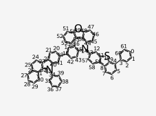 c1ccc(-c2cccc3c2sc2cc(N(c4ccc(-c5ccc6c7ccc8ccccc8c7n(-c7ccccc7)c6c5)cc4)c4cccc5oc6ccccc6c45)ccc23)cc1